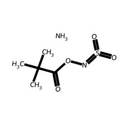 CC(C)(C)C(=O)ON=S(=O)=O.N